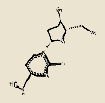 O=c1nc(NO)ccn1[C@@H]1C[C@@H](O)[C@H](CO)O1